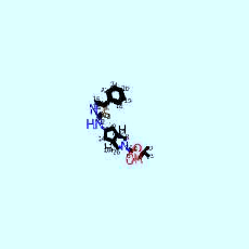 CC(C)(C)OC(O)N1C[C@H]2C[C@H](Nc3ncc(-c4ccccc4)s3)C[C@H]2C1